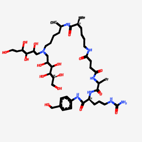 CN[C@@H](CCCCNC(=O)CCC(=O)NC(C(=O)N[C@@H](CCCNC(N)=O)C(=O)Nc1ccc(CO)cc1)C(C)C)C(=O)NC(C=O)CCCCN(CC(O)C(O)C(O)CCO)CC(O)C(O)C(O)[C@H](O)CO